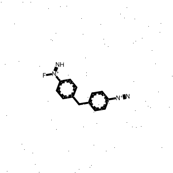 N#[N+]c1ccc(Cc2ccc([N+](=N)F)cc2)cc1